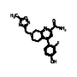 Cc1nc(CN2CCc3c(-c4ccc(O)cc4F)cc(C(N)=O)nc3C2)no1